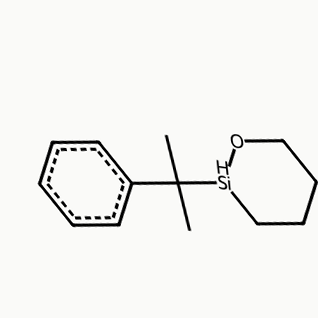 CC(C)(c1ccccc1)[SiH]1CCCCO1